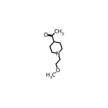 COCCN1CCC(C(C)=O)CC1